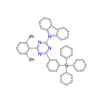 CC(C)c1cccc(C(C)C)c1-c1nc(-c2cccc([Si](c3ccccc3)(c3ccccc3)c3ccccc3)c2)nc(-n2c3ccccc3c3ccccc32)n1